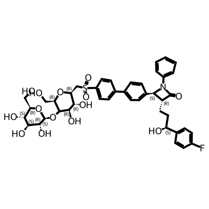 O=C1[C@H](CC[C@H](O)c2ccc(F)cc2)[C@@H](c2ccc(-c3ccc(S(=O)(=O)C[C@@H]4O[C@H](CO)C(O[C@@H]5O[C@H](CO)[C@@H](O)[C@H](O)[C@H]5O)[C@H](O)[C@H]4O)cc3)cc2)N1c1ccccc1